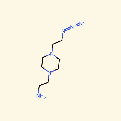 [N-]=[N+]=NCCN1CCN(CCN)CC1